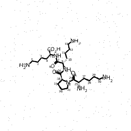 NCCCC[C@H](NC(=O)[C@H](CCCCN)NC(=O)[C@@H]1CCCN1C(=O)[C@@H](N)CCCCN)C(=O)O